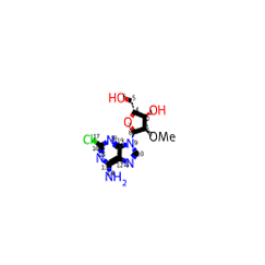 CO[C@@H]1[C@H](O)[C@@H](CO)O[C@H]1n1cnc2c(N)nc(Cl)nc21